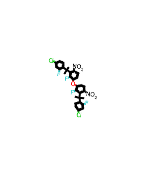 CC(C)(c1ccc(Cl)cc1F)c1c([N+](=O)[O-])ccc(Oc2ccc([N+](=O)[O-])c(C(C)(C)c3ccc(Cl)cc3F)c2F)c1F